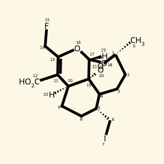 C[C@]12CCC3[C@H](CI)CC[C@H]4C(C(=O)O)=C(CF)O[C@H](O1)[C@@]34OO2